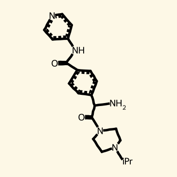 CC(C)N1CCN(C(=O)C(N)c2ccc(C(=O)Nc3ccncc3)cc2)CC1